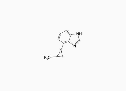 FC(F)(F)C1CN1c1cccc2[nH]cnc12